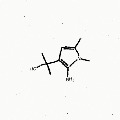 Cc1cc(C(C)(C)O)c(N)n1C